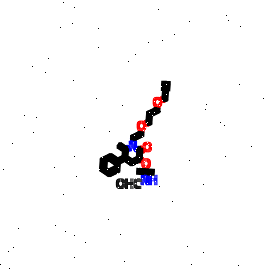 C#CCOCCCOCCN1C(=O)C(OC(C)(C)NC=O)CC(c2ccccc2)C1C